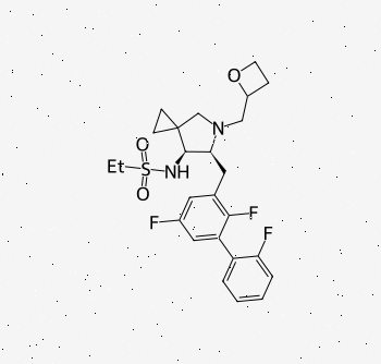 CCS(=O)(=O)N[C@@H]1[C@H](Cc2cc(F)cc(-c3ccccc3F)c2F)N(CC2CCO2)CC12CC2